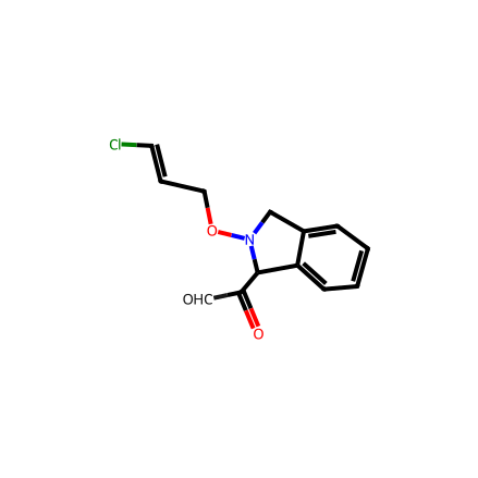 O=CC(=O)C1c2ccccc2CN1OCC=CCl